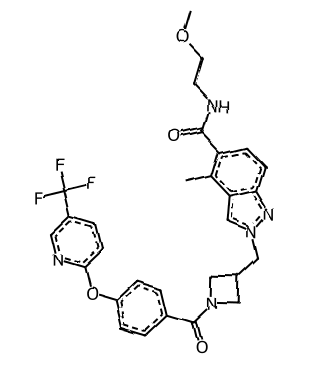 COCCNC(=O)c1ccc2nn(CC3CN(C(=O)c4ccc(Oc5ccc(C(F)(F)F)cn5)cc4)C3)cc2c1C